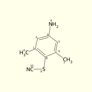 Cc1cc(N)cc(C)c1SC#N